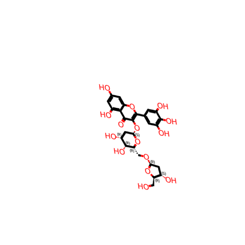 O=c1c(O[C@H]2C[C@@H](O)[C@@H](O)[C@@H](CO[C@H]3C[C@H](O)[C@@H](CO)O3)O2)c(-c2cc(O)c(O)c(O)c2)oc2cc(O)cc(O)c12